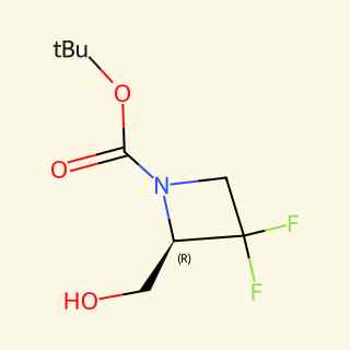 CC(C)(C)OC(=O)N1CC(F)(F)[C@H]1CO